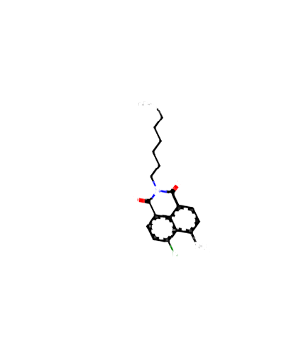 CCCCCCCCCCCCCCCCN1C(=O)c2ccc(Br)c3c([N+](=O)[O-])ccc(c23)C1=O